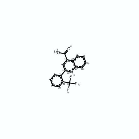 O=C(O)c1cc(-c2ccccc2C(F)(F)F)nc2ccccc12